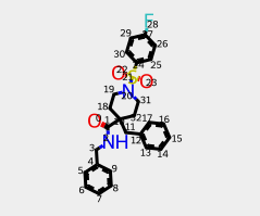 O=C(NCc1ccccc1)C1(Cc2ccccc2)CCN(S(=O)(=O)c2ccc(F)cc2)CC1